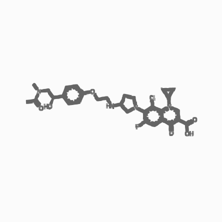 CC(=O)N(C)C[C@H](O)c1ccc(OCCNC2CCN(c3c(F)cc4c(=O)c(C(=O)O)cn(C5CC5)c4c3Cl)C2)cc1